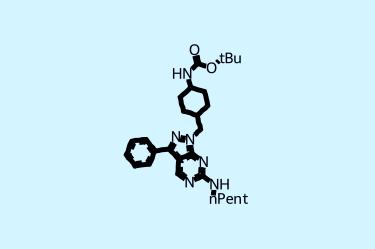 CCCCCNc1ncc2c(-c3ccccc3)nn(CC3CCC(NC(=O)OC(C)(C)C)CC3)c2n1